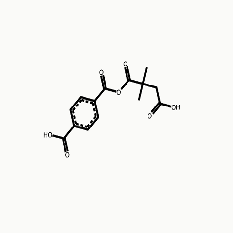 CC(C)(CC(=O)O)C(=O)OC(=O)c1ccc(C(=O)O)cc1